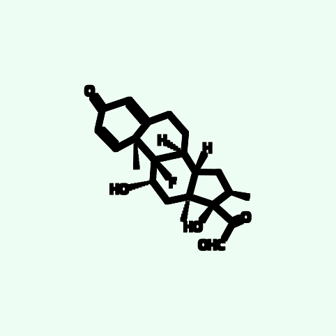 C[C@@H]1C[C@H]2[C@@H]3CCC4=CC(=O)C=C[C@]4(C)[C@@]3(F)[C@@H](O)C[C@]2(C)[C@@]1(O)C(=O)C=O